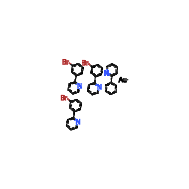 Brc1cccc(-c2ccccn2)c1.Brc1cccc(-c2ccccn2)c1.Brc1cccc(-c2ccccn2)c1.[Au].c1ccc(-c2ccccn2)cc1